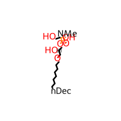 CCCCCCCCCCCCCCCCCCOC[C@H](O)COP(=O)(O)C(CO)NC